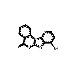 O=c1nc2oc3c(S)ccnc3n2c2ccccc12